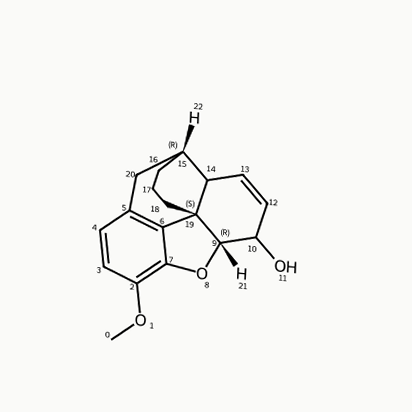 COc1ccc2c3c1O[C@H]1C(O)C=CC4[C@H](CCC[C@@]341)C2